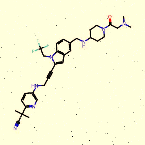 CN(C)CC(=O)N1CCC(NCc2ccc3c(c2)cc(C#CCNc2ccc(C(C)(C)C#N)nc2)n3CC(F)(F)F)CC1